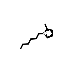 CCCCCCn1cccc1C